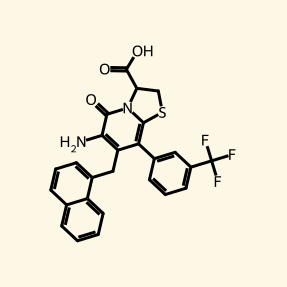 Nc1c(Cc2cccc3ccccc23)c(-c2cccc(C(F)(F)F)c2)c2n(c1=O)C(C(=O)O)CS2